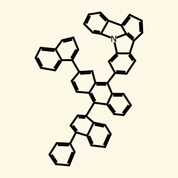 c1ccc(-c2ccc(-c3c4ccccc4c(-c4ccc5c6cccc7c8ccccc8n(c5c4)c76)c4cc(-c5cccc6ccccc56)ccc34)c3ccccc23)cc1